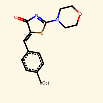 CCCCCCCCc1ccc(/C=C2\SC(N3CCOCC3)=NC2=O)cc1